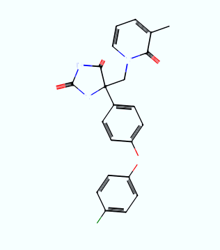 Cc1cccn(CC2(c3ccc(Oc4ccc(F)cc4)cc3)NC(=O)NC2=O)c1=O